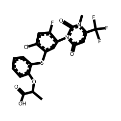 CC(Oc1ccccc1Sc1cc(-n2c(=O)cc(C(F)(F)F)n(C)c2=O)c(F)cc1Cl)C(=O)O